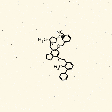 Cc1c(COc2cc(OCc3cccc(C#N)c3)c(CN3C[C@H](O)C[C@H]3C)c3c2CCC3)cccc1-c1ccccc1